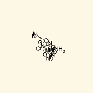 CC(NC(=O)c1c(NS(N)(=O)=O)nn2cccnc12)c1c2c3c(ccc(C#Cc4cnn(C)c4)c3c(=O)n1-c1ccccc1)N(C)C2=O